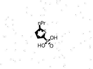 CCCc1ccc(P(=O)(O)O)s1